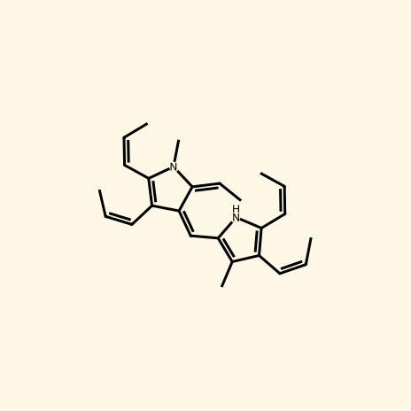 C/C=C\c1[nH]c(/C=c2/c(/C=C\C)c(/C=C\C)n(C)/c2=C/C)c(C)c1/C=C\C